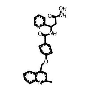 Cc1cc(COc2ccc(C(=O)NC(CC(=O)NO)c3ccccn3)cc2)c2ccccc2n1